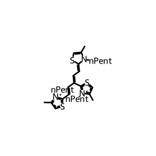 CCCCCN1C(C)=CS\C1=C/C=C(/C=C/c1scc(C)[n+]1CCCCC)c1scc(C)[n+]1CCCCC